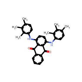 Cc1ccc(Nc2ccc(Nc3ccc(C)c(C)c3C)c3c2C(=O)c2ccccc2C3=O)c(C)c1C